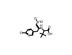 CC(C)(C)C(N/C(=C\[N+](=O)[O-])Cc1ccc(Cl)nc1)C(=O)O